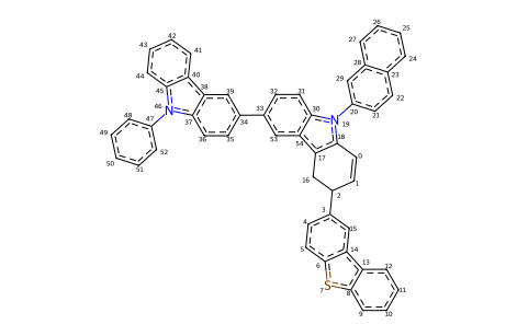 C1=CC(c2ccc3sc4ccccc4c3c2)Cc2c1n(-c1ccc3ccccc3c1)c1ccc(-c3ccc4c(c3)c3ccccc3n4-c3ccccc3)cc21